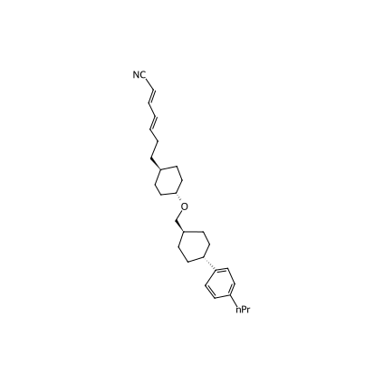 CCCc1ccc([C@H]2CC[C@H](CO[C@H]3CC[C@H](CCC=CC=CC#N)CC3)CC2)cc1